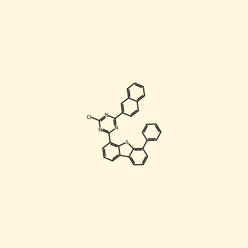 Clc1nc(-c2ccc3ccccc3c2)nc(-c2cccc3c2sc2c(-c4ccccc4)cccc23)n1